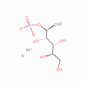 O=C[C@H](OP(=O)([O-])[O-])[C@@H](O)[C@H](O)[C@H](O)CO.[K+].[Na+]